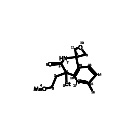 CCC1(CCOC)C(=O)NC2(COC2)c2ccc(C)nc21